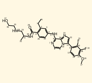 CCc1cc(Nc2nccn3c(-c4ccc(OC)c(F)c4F)cnc23)ccc1C(=O)NC(C)CNCCO